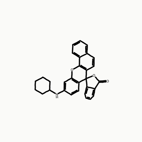 O=C1OC2(c3ccc(NC4CCCCC4)cc3Oc3c2ccc2ccccc32)c2ccccc21